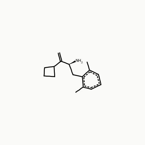 C=C(C1CCC1)[C@@H](N)Cc1c(C)cccc1C